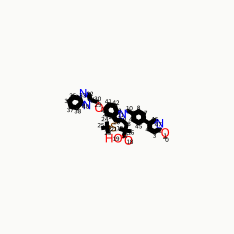 COc1ccc(-c2ccc(Cn3c(CC(C)(C)C(=O)O)c(SC(C)(C)C)c4cc(OCc5cnc6ccccc6n5)ccc43)cc2)cn1